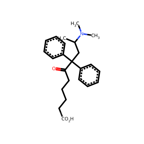 CC(CC(C(=O)CCCCC(=O)O)(c1ccccc1)c1ccccc1)N(C)C